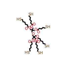 O=C(CCCCS)OCC(COCC(COC(=O)CCCCCS)(COC(=O)CCCCCS)COC(=O)CCCCCS)(COC(=O)CCCCCS)COC(=O)CCCCCS